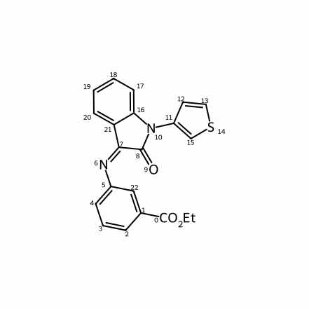 CCOC(=O)c1cccc(/N=C2\C(=O)N(c3ccsc3)c3ccccc32)c1